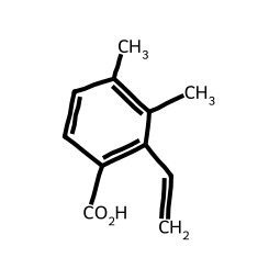 C=Cc1c(C(=O)O)ccc(C)c1C